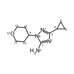 Nc1nc(C2CC2)nn1C1CCOCC1